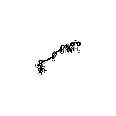 Nc1ncnc2c1c(-c1ccc(Oc3ccccc3)cc1)nn2[C@@H]1CCCN(C(=O)/C=C/CN2CCN(C(=O)CCCCCSc3cccc4c3CN(C3CCC(=O)NC3=O)C4=O)CC2)C1